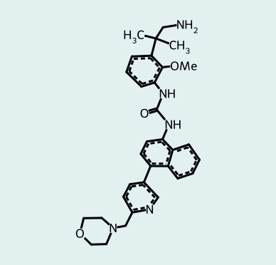 COc1c(NC(=O)Nc2ccc(-c3ccc(CN4CCOCC4)nc3)c3ccccc23)cccc1C(C)(C)CN